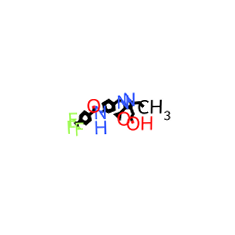 CCc1nn(Cc2ccc(NC(=O)c3ccc(C(F)(F)F)cc3)cc2)c(C2CC2)c1CC(=O)O